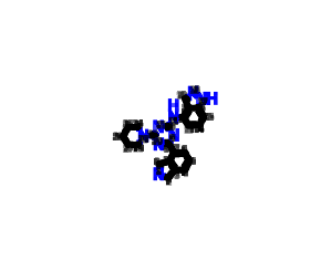 C1=NCc2cccc(-c3nc(Nc4cccc5[nH]ncc45)nc(N4CCCCC4)n3)c21